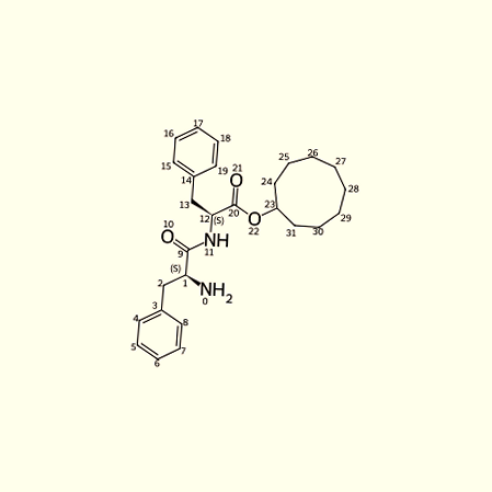 N[C@@H](Cc1ccccc1)C(=O)N[C@@H](Cc1ccccc1)C(=O)OC1CCCCCCCC1